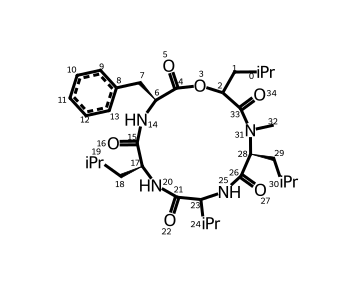 CC(C)CC1OC(=O)[C@H](Cc2ccccc2)NC(=O)[C@H](CC(C)C)NC(=O)C(C(C)C)NC(=O)[C@H](CC(C)C)N(C)C1=O